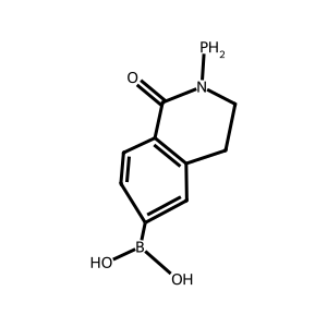 O=C1c2ccc(B(O)O)cc2CCN1P